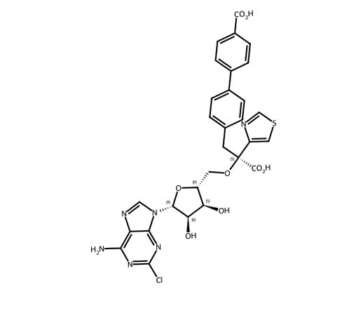 Nc1nc(Cl)nc2c1ncn2[C@@H]1O[C@H](CO[C@](Cc2ccc(-c3ccc(C(=O)O)cc3)cc2)(C(=O)O)c2cscn2)[C@@H](O)[C@H]1O